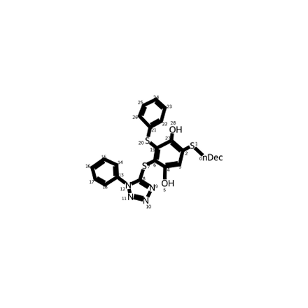 CCCCCCCCCCSc1cc(O)c(Sc2nnnn2-c2ccccc2)c(Sc2ccccc2)c1O